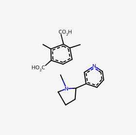 CN1CCCC1c1cccnc1.Cc1ccc(C(=O)O)c(C)c1C(=O)O